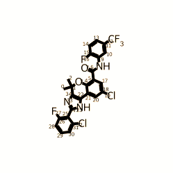 CC1(C)Oc2c(C(=O)Nc3cc(C(F)(F)F)ccc3F)cc(Cl)cc2-c2[nH]c(-c3c(F)cccc3Cl)nc21